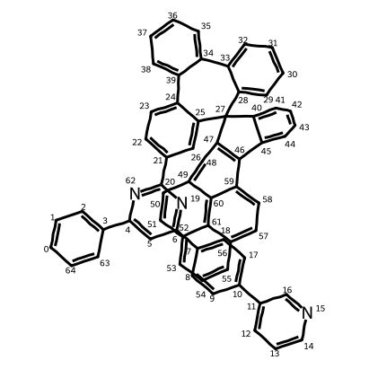 c1ccc(-c2cc(-c3ccc(-c4cccnc4)cc3)nc(-c3ccc4c(c3)C3(c5ccccc5-c5ccccc5-4)c4ccccc4-c4c3cc3ccc5cccc6ccc4c3c56)n2)cc1